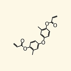 C=CC(=O)Oc1ccc(Oc2ccc(OC(=O)C=C)c(C)c2)cc1C